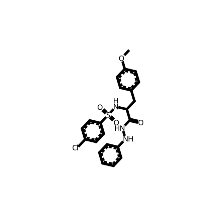 COc1ccc(CC(NS(=O)(=O)c2ccc(Cl)cc2)C(=O)NNc2ccccc2)cc1